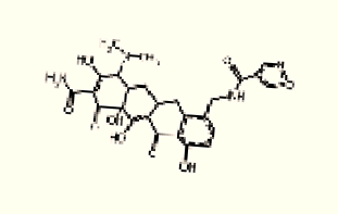 CN(C)C1C(O)=C(C(N)=O)C(=O)C2(O)C(O)=C3C(=O)c4c(O)ccc(CNC(=O)c5cnoc5)c4CC3CC12